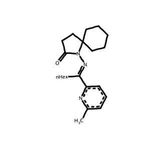 CCCCCCC(=NN1C(=O)CCC12CCCCC2)c1cccc(C)n1